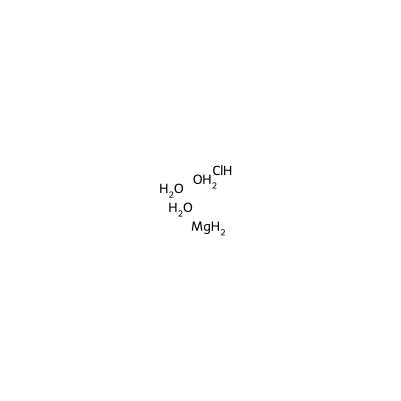 Cl.O.O.O.[MgH2]